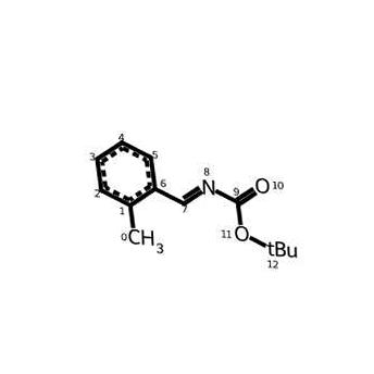 Cc1ccccc1C=NC(=O)OC(C)(C)C